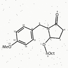 CCCCCCCCOC1CCC(=O)N1Cc1ccc(OC)cc1